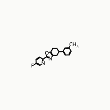 Cc1cccc(C2CCc3oc(-c4ccc(F)cn4)nc3C2)c1